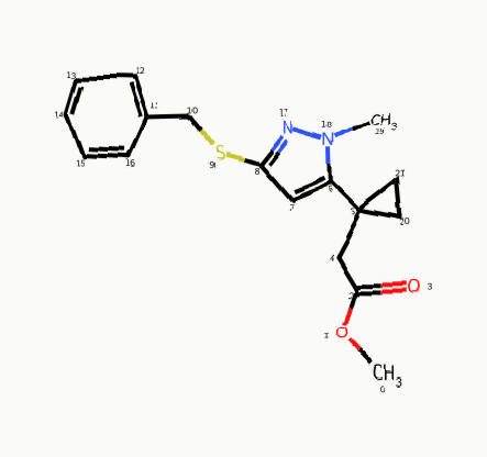 COC(=O)CC1(c2cc(SCc3ccccc3)nn2C)CC1